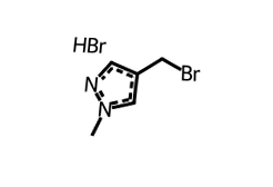 Br.Cn1cc(CBr)cn1